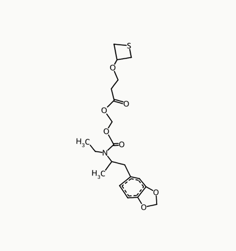 CCN(C(=O)OCOC(=O)CCOC1CSC1)C(C)Cc1ccc2c(c1)OCO2